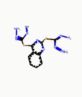 N=NC(=NN)Sc1nc(SC(N=N)=NN)c2ccccc2n1